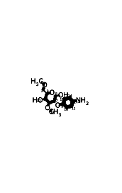 COC[C@H]1O[C@@H](O)[C@H](Oc2ccc(N)cc2)[C@@H](OC)[C@H]1O